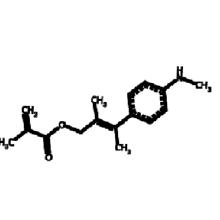 C=C(C)C(=O)OC/C(C)=C(\C)c1ccc(NC)cc1